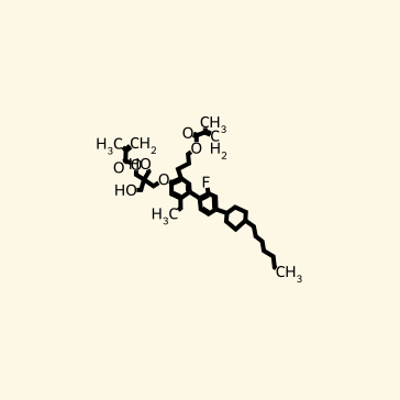 C=C(C)C(=O)OCCCc1cc(-c2ccc(C3CCC(CCCCCCC)CC3)cc2F)c(CC)cc1OCC(CO)(CO)COC(=O)C(=C)C